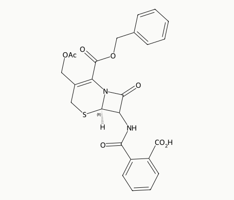 CC(=O)OCC1=C(C(=O)OCc2ccccc2)N2C(=O)C(NC(=O)c3ccccc3C(=O)O)[C@H]2SC1